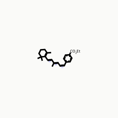 CCOC(=O)c1ccc(\C=C/C=C(C)/C=C/C2=C(C)CCCC2(C)C)cc1